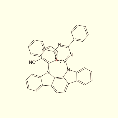 N#Cc1cccc(C#N)c1-n1c2ccccc2c2ccc3c4ccccc4n(-c4nc(-c5ccccc5)nc(-c5ccccc5)n4)c3c21